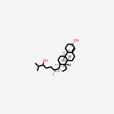 CC(C)C(O)CC[C@@H](C)[C@H]1CC[C@H]2[C@@H]3CCC4=C[C@@H](O)CC[C@]4(C)[C@H]3CC[C@]12C